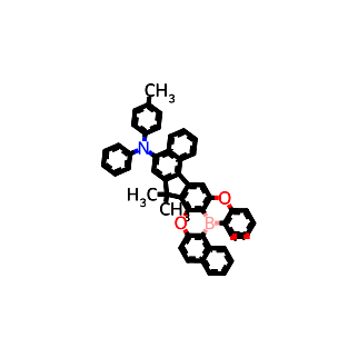 Cc1ccc(N(c2ccccc2)c2cc3c(c4ccccc24)-c2cc4c5c(c2C3(C)C)Oc2ccc3ccccc3c2B5c2c(ccc3ccccc23)O4)cc1